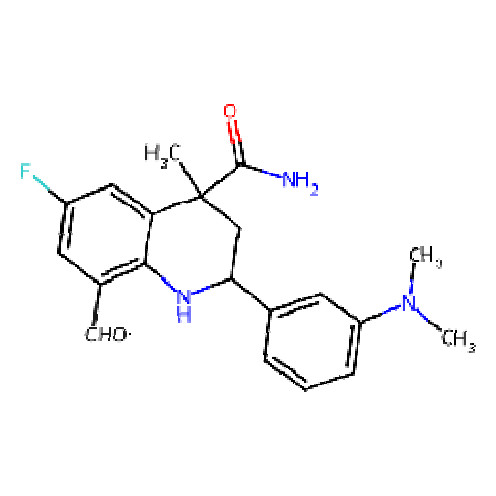 CN(C)c1cccc(C2CC(C)(C(N)=O)c3cc(F)cc([C]=O)c3N2)c1